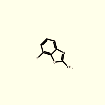 Cc1nc2cccc(F)c2o1